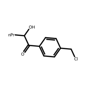 CCCC(O)C(=O)c1ccc(CCl)cc1